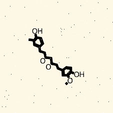 COc1cc(CCC(=O)CC(=O)CCc2ccc(O)c(C)c2)ccc1O